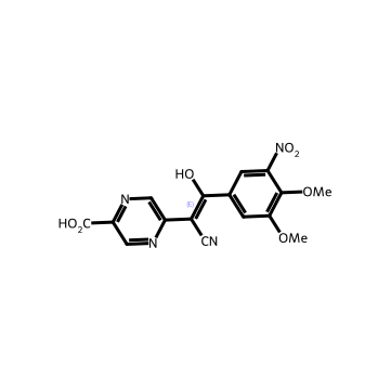 COc1cc(/C(O)=C(\C#N)c2cnc(C(=O)O)cn2)cc([N+](=O)[O-])c1OC